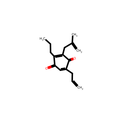 C=CCC1=CC(=O)C(CCC)=C(CC(=C)C)C1=O